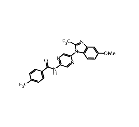 COc1ccc2c(c1)nc(C(F)(F)F)n2-c1cnc(NC(=O)c2ccc(C(F)(F)F)cc2)cn1